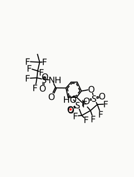 CC(F)(F)C(F)(F)C(F)(F)S(=O)(=O)NC(=O)c1ccc(OS(=O)(=O)C(F)(F)C(F)(F)C(F)(F)S(=O)(=O)O)c(I)c1